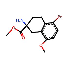 COC(=O)C1(N)CCc2c(Br)ccc(OC)c2C1